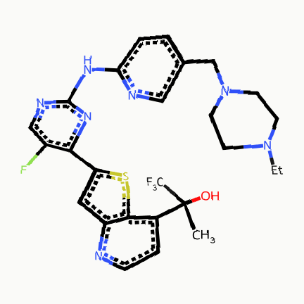 CCN1CCN(Cc2ccc(Nc3ncc(F)c(-c4cc5nccc(C(C)(O)C(F)(F)F)c5s4)n3)nc2)CC1